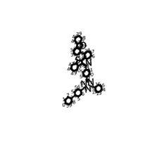 c1ccc(-c2ccc(-c3nc(-c4ccccc4)nc(-c4ccc(-c5nc6cccc(-c7cccc8c7oc7ccccc78)c6c6sc7ccccc7c56)cc4)n3)cc2)cc1